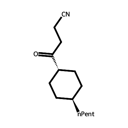 CCCCC[C@H]1CC[C@H](C(=O)CCC#N)CC1